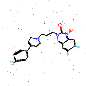 O=c1n(CCCN2CC=C(c3ccc(Cl)cc3)CC2)cc2cc(F)c(F)cc2[n+]1[O-]